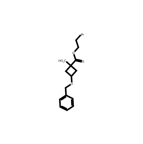 CC(C)CCOC(=O)C1(C(=O)O)CC(OCc2ccccc2)C1